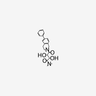 CN(C)C(=O)[C@H](O)[C@@H](O)C(=O)N1CCc2cc(-c3ccccc3)ccc2C1